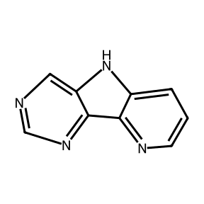 c1cnc2c(c1)[nH]c1cncnc12